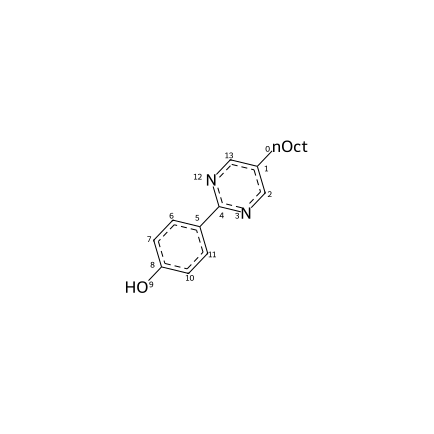 CCCCCCCCc1cnc(-c2ccc(O)cc2)nc1